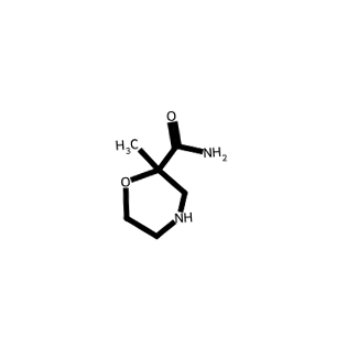 CC1(C(N)=O)CNCCO1